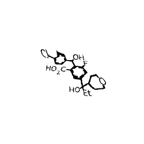 CCC(O)(c1cc(F)c(C(O)c2ccc(Cl)cc2)c(C(=O)O)c1)C1CCOCC1